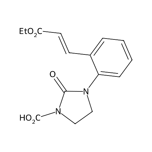 CCOC(=O)C=Cc1ccccc1N1CCN(C(=O)O)C1=O